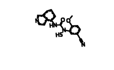 COc1ccc(C#N)cc1N(S)C(=O)Nc1cccc2cnccc12